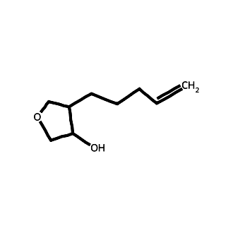 C=CCCCC1COCC1O